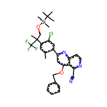 Cc1cc(C(C)(CO[Si](C)(C)C(C)(C)C)C(F)(F)F)c(Cl)cc1-c1cc(OCc2ccccc2)c2c(C#N)nccc2n1